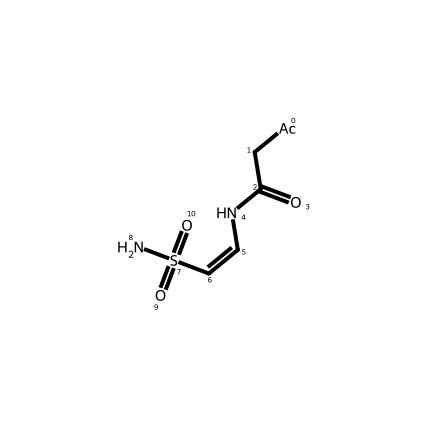 CC(=O)CC(=O)N/C=C\S(N)(=O)=O